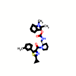 Cc1cccc(-c2sc(C3CC3)nc2C(=O)N2CCCC[C@H]2CNC(=O)Oc2c(C)n(C)c3ccccc23)c1